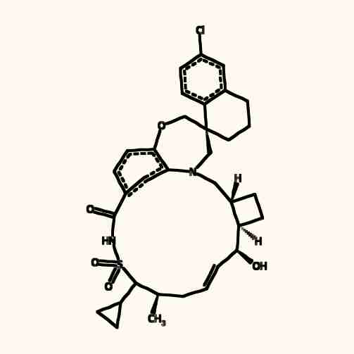 C[C@@H]1C/C=C/[C@H](O)[C@@H]2CC[C@H]2CN2C[C@@]3(CCCc4cc(Cl)ccc43)COc3ccc(cc32)C(=O)NS(=O)(=O)C1C1CC1